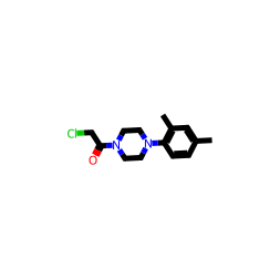 Cc1ccc(N2CCN(C(=O)CCl)CC2)c(C)c1